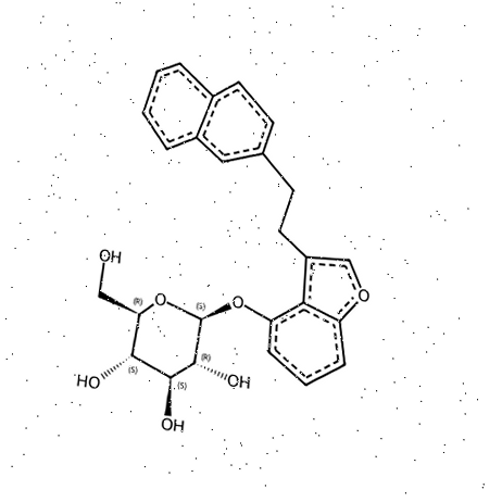 OC[C@H]1O[C@@H](Oc2cccc3occ(CCc4ccc5ccccc5c4)c23)[C@H](O)[C@@H](O)[C@@H]1O